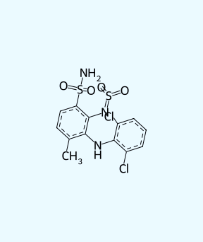 Cc1ccc(S(N)(=O)=O)c(N=S(=O)=O)c1Nc1c(Cl)cccc1Cl